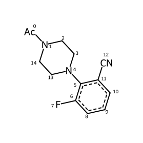 CC(=O)N1CCN(c2c(F)cccc2C#N)CC1